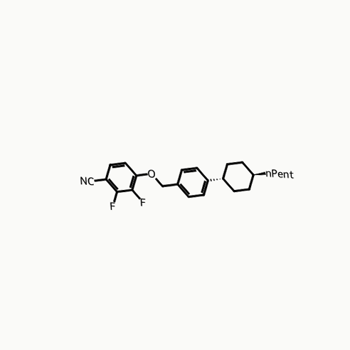 CCCCC[C@H]1CC[C@H](c2ccc(COc3ccc(C#N)c(F)c3F)cc2)CC1